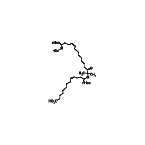 CCCCCCC(CC/C=C\CCCCCCCC(=O)C(C)(C)OC(CC/C=C\CCCCCCCC(=O)O)CCCCCC)OC(C)(C)C